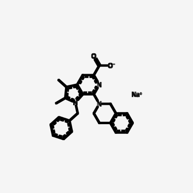 Cc1c(C)n(Cc2ccccc2)c2c(N3CCc4ccccc4C3)nc(C(=O)[O-])cc12.[Na+]